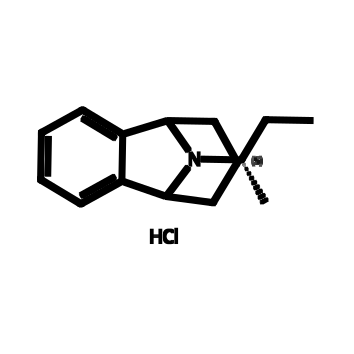 CC[C@H](C)N1C2CCCC1c1ccccc12.Cl